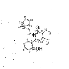 CCc1nc(-c2ccccc2O)n(CC)c(=O)c1CC.c1cc2cc-2c1